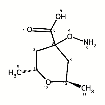 C[C@@H]1CC(ON)(C(=O)O)C[C@@H](C)O1